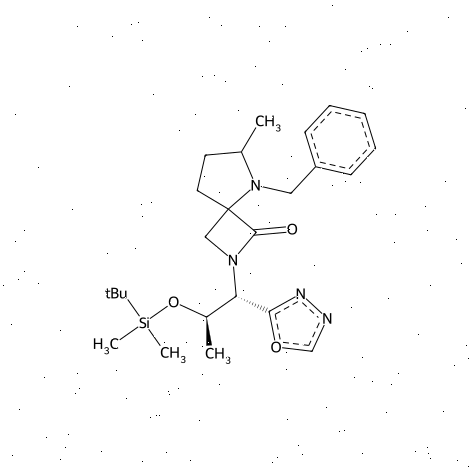 CC1CCC2(CN([C@H](c3nnco3)[C@@H](C)O[Si](C)(C)C(C)(C)C)C2=O)N1Cc1ccccc1